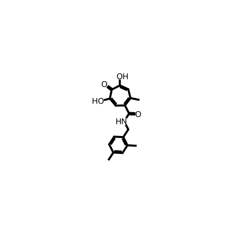 Cc1ccc(CNC(=O)c2cc(O)c(=O)c(O)cc2C)c(C)c1